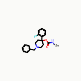 CC(C)(C)NC(=O)OC1(c2ccccc2F)CCN(Cc2ccccc2)CC1